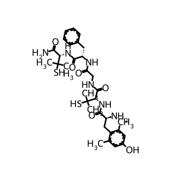 Cc1cc(O)cc(C)c1C[C@H](N)C(=O)N[C@@H](C(=O)NCC(=O)N[C@@H](Cc1ccccc1)C(=O)N[C@@H](C(N)=O)C(C)(C)S)C(C)(C)S